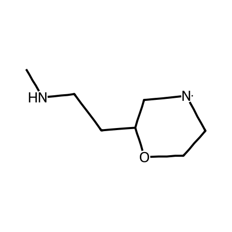 CNCCC1C[N]CCO1